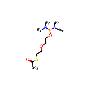 CC(C)N(C(C)C)P(OCCOCCSC(=O)C(C)(C)C)N(C(C)C)C(C)C